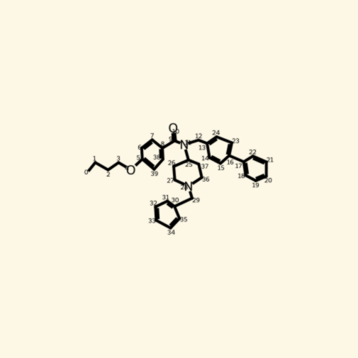 CCCCOc1ccc(C(=O)N(Cc2ccc(-c3ccccc3)cc2)C2CCN(Cc3ccccc3)CC2)cc1